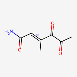 CC(=O)C(=O)/C(C)=C/C(N)=O